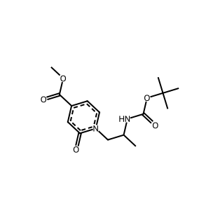 COC(=O)c1ccn(CC(C)NC(=O)OC(C)(C)C)c(=O)c1